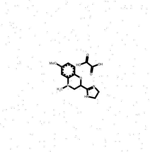 COc1ccc2c(c1)N(C)CC(C1=NCCN1)O2.O=C(O)C(=O)O